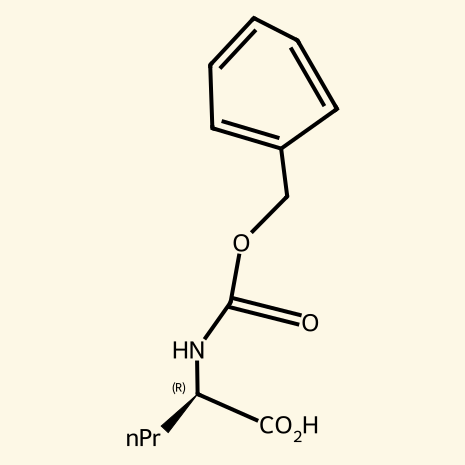 CCC[C@@H](NC(=O)OCc1ccccc1)C(=O)O